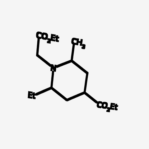 CCOC(=O)CN1C(C)CC(C(=O)OCC)CC1CC